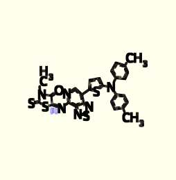 CCN1C(=O)/C(=N\c2ncc(-c3ccc(N(c4ccc(C)cc4)c4ccc(C)cc4)s3)c3nsnc23)SC1=S